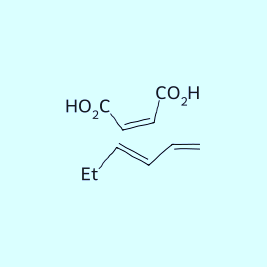 C=CC=CCC.O=C(O)/C=C\C(=O)O